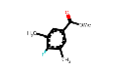 COC(=O)c1cc(C)c(F)c(C)c1